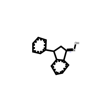 O/N=C1\CC(c2ccccc2)c2ccccc21